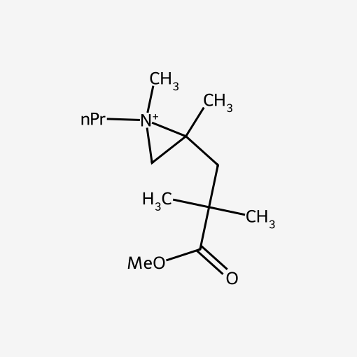 CCC[N+]1(C)CC1(C)CC(C)(C)C(=O)OC